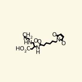 C=NCNC(=O)C(CC(=O)O)NC(=O)CCCCCN1C(=O)C=CC1=O